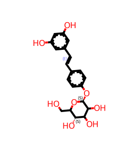 OCC1O[C@@H](Oc2ccc(/C=C/c3cc(O)cc(O)c3)cc2)C(O)C(O)[C@@H]1O